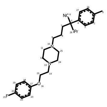 Cc1ccc(C(C#N)(CCCN2CCN(CCOc3ccc(F)cc3)CC2)C(C)C)cc1